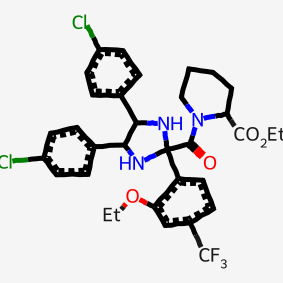 CCOC(=O)C1CCCCN1C(=O)C1(c2ccc(C(F)(F)F)cc2OCC)NC(c2ccc(Cl)cc2)C(c2ccc(Cl)cc2)N1